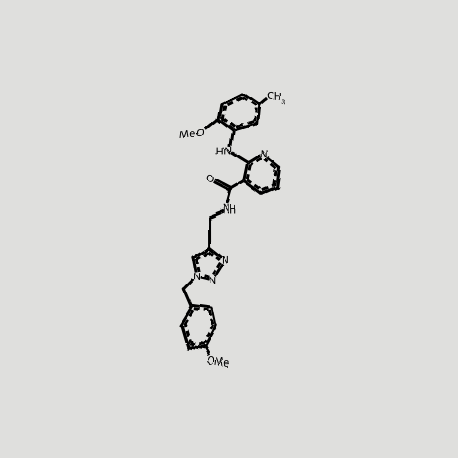 COc1ccc(Cn2cc(CNC(=O)c3cccnc3Nc3cc(C)ccc3OC)nn2)cc1